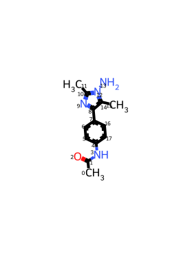 CC(=O)Nc1ccc(-c2nc(C)n(N)c2C)cc1